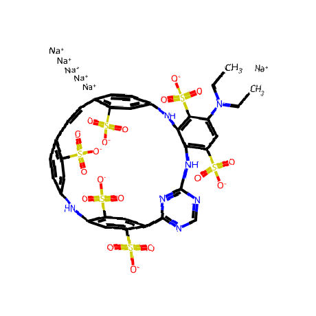 CCN(CC)c1cc(S(=O)(=O)[O-])c2c(c1S(=O)(=O)[O-])Nc1ccc(c(S(=O)(=O)[O-])c1)C=Cc1ccc(cc1S(=O)(=O)[O-])Nc1cc(S(=O)(=O)[O-])c(cc1S(=O)(=O)[O-])-c1ncnc(n1)N2.[Na+].[Na+].[Na+].[Na+].[Na+].[Na+]